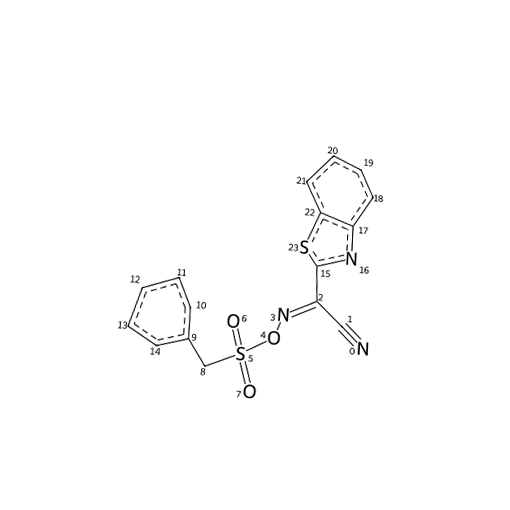 N#C/C(=N\OS(=O)(=O)Cc1ccccc1)c1nc2ccccc2s1